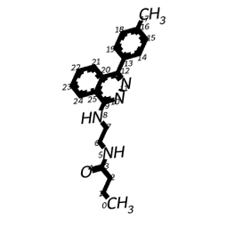 CCCC(=O)NCCNc1nnc(-c2ccc(C)cc2)c2ccccc12